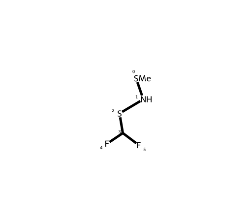 CSNSC(F)F